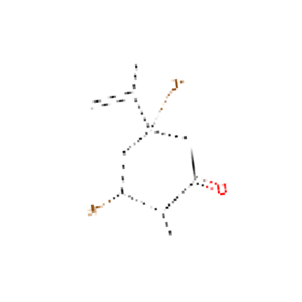 C=C(C)C1(Br)CC(=O)C(C)C(Br)C1